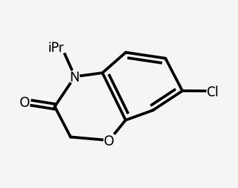 CC(C)N1C(=O)COc2cc(Cl)ccc21